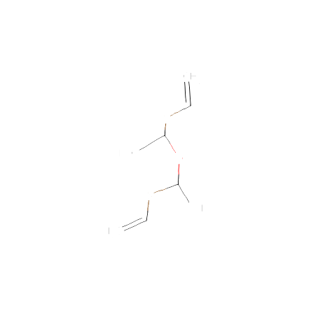 C=CSC(C)OC(C)SC=C